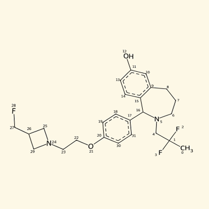 CC(F)(F)CN1CCCc2cc(O)ccc2C1c1ccc(OCCN2CC(CF)C2)cc1